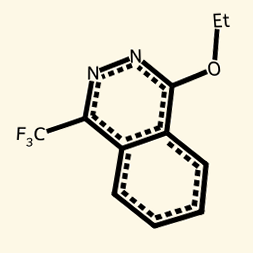 CCOc1nnc(C(F)(F)F)c2ccccc12